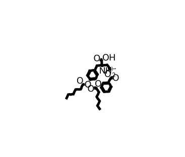 CCCCCC(=O)Oc1ccc(CC(N)(C[C@H](C)OC(=O)c2ccccc2)C(=O)O)cc1OC(=O)CCCCC